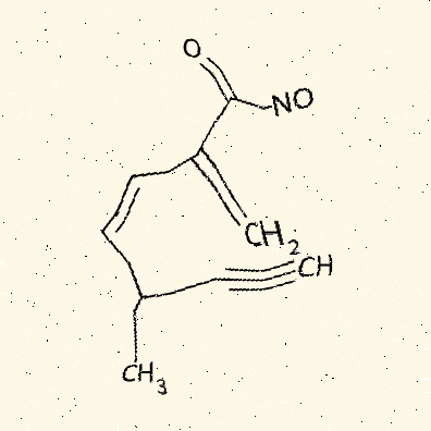 C#CC(C)/C=C\C(=C)C(=O)N=O